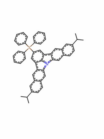 CC(C)c1ccc2cc3c(cc2c1)c1cc(S(c2ccccc2)(c2ccccc2)c2ccccc2)cc2c4cc5cc(C(C)C)ccc5cc4n3c12